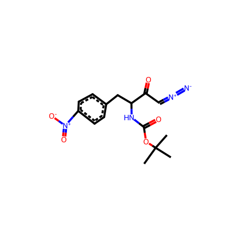 CC(C)(C)OC(=O)NC(Cc1ccc([N+](=O)[O-])cc1)C(=O)C=[N+]=[N-]